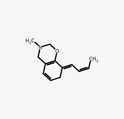 C/C=C\C=C1/CC=CC2=C1OCN(C)C2